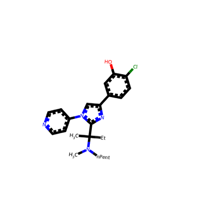 CCCCCN(C)C(C)(CC)c1nc(-c2ccc(Cl)c(O)c2)cn1-c1ccncc1